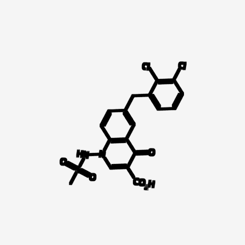 CS(=O)(=O)Nn1cc(C(=O)O)c(=O)c2cc(Cc3cccc(Cl)c3Cl)ccc21